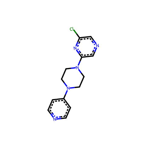 Clc1cncc(N2CCN(c3ccncc3)CC2)n1